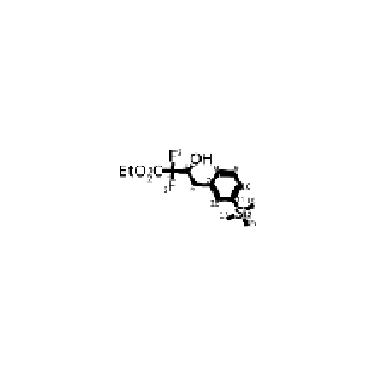 CCOC(=O)C(F)(F)C(O)Cc1cccc([Si](C)(C)C)c1